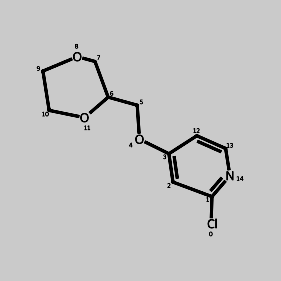 Clc1cc(OCC2COCCO2)ccn1